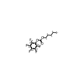 O=C(OCCCCI)Oc1c(F)c(F)c(F)c(F)c1F